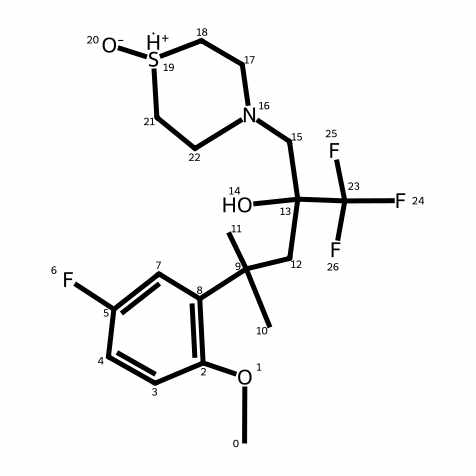 COc1ccc(F)cc1C(C)(C)CC(O)(CN1CC[SH+]([O-])CC1)C(F)(F)F